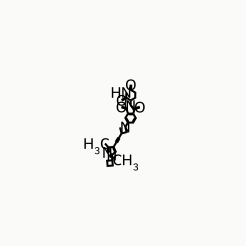 Cc1nn(C2(C)CCC2)cc1C#CC1CN(c2ccc3c(c2)C(=O)N(C2CCC(=O)NC2=O)C3=O)C1